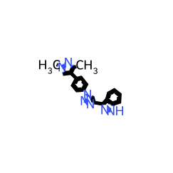 Cc1nn(C)cc1-c1ccc(-n2cc(-c3n[nH]c4ccccc34)nn2)cc1